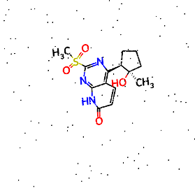 C[C@@]1(O)CCC[C@@H]1c1nc(S(C)(=O)=O)nc2[nH]c(=O)ccc12